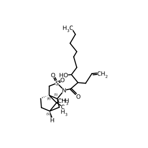 C=CCC(C(=O)N1[C@H]2C[C@@H]3CC[C@@]2(CS1(=O)=O)C3(C)C)C(O)CCCCCC